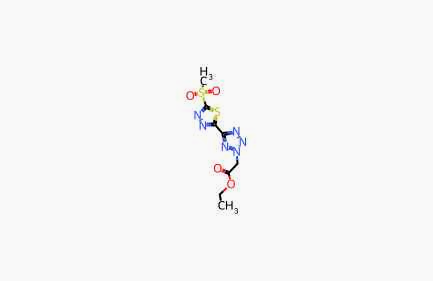 CCOC(=O)Cn1nnc(-c2nnc(S(C)(=O)=O)s2)n1